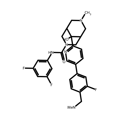 CNCc1ccc(-c2ccc(C3(O)C4CN(C)CC3CN(C(=O)Nc3cc(F)cc(F)c3)C4)nc2)cc1F